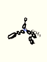 CC1(C)c2cc(N(c3ccc(-c4ccc(C5CC6CCC5C6)cc4)cc3)c3ccc(C4CCCCC4)cc3)ccc2-c2c(-c3cccc4ccccc34)cccc21